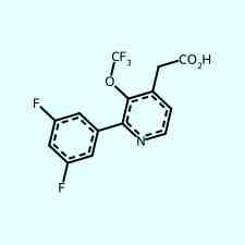 O=C(O)Cc1ccnc(-c2cc(F)cc(F)c2)c1OC(F)(F)F